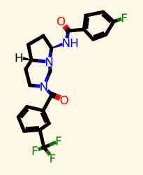 O=C(N[C@@H]1CC[C@H]2CCN(C(=O)c3cccc(C(F)(F)F)c3)CN21)c1ccc(F)cc1